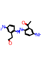 CC(=O)c1cc(N)ccc1N=Nc1ccc(N)cc1CC=O